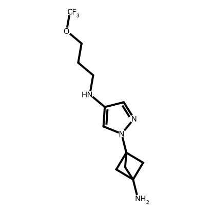 NC12CC(n3cc(NCCCOC(F)(F)F)cn3)(C1)C2